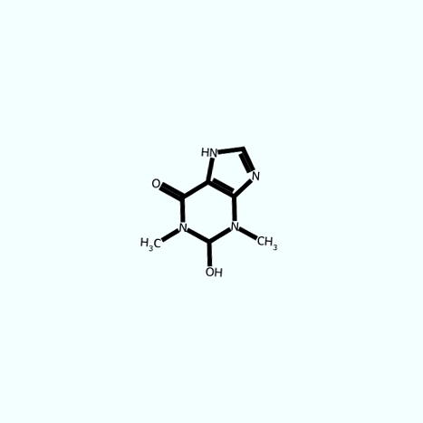 CN1C(=O)c2[nH]cnc2N(C)C1O